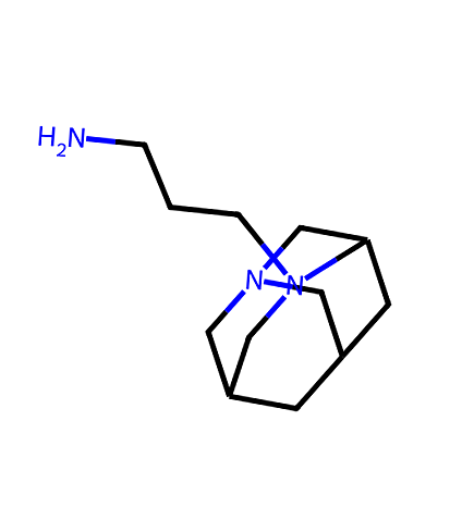 NCCCN1CC2CC3CC1CN(C3)C2